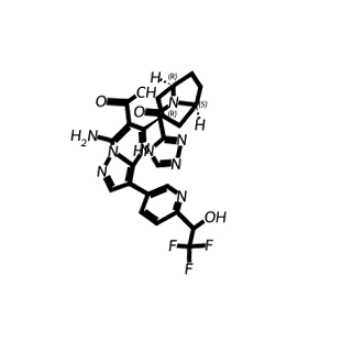 CC(=O)c1c([C@H]2C[C@H]3CC[C@@H](C2)N3C(=O)c2nnc[nH]2)nc2c(-c3ccc(C(O)C(F)(F)F)nc3)cnn2c1N